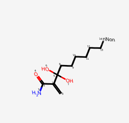 C=C(C(N)=O)C(O)(O)CCCCCCCCCCCCCCC